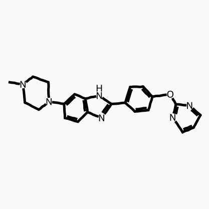 CN1CCN(c2ccc3nc(-c4ccc(Oc5ncccn5)cc4)[nH]c3c2)CC1